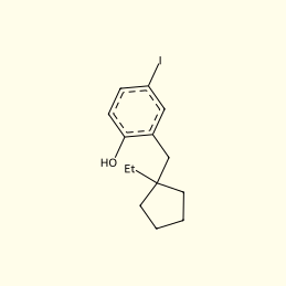 CCC1(Cc2cc(I)ccc2O)CCCC1